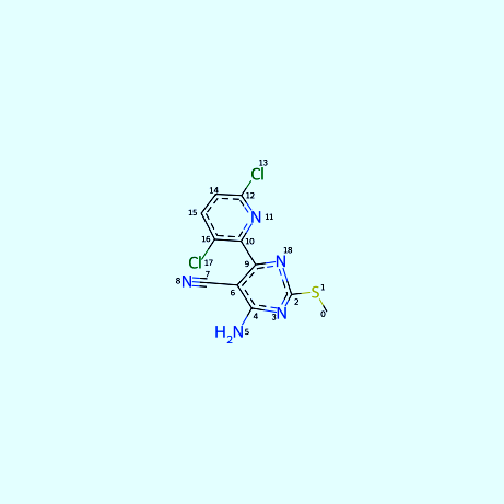 CSc1nc(N)c(C#N)c(-c2nc(Cl)ccc2Cl)n1